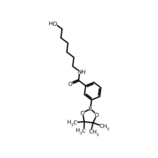 CC1(C)OB(c2cccc(C(=O)NCCCCCCO)c2)OC1(C)C